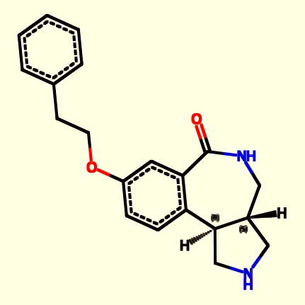 O=C1NC[C@@H]2CNC[C@H]2c2ccc(OCCc3ccccc3)cc21